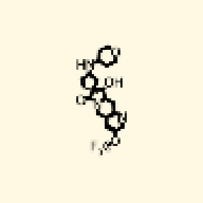 O=C1N2Cc3cc(OC(F)(F)F)cnc3CC2C(O)[C@@]12CC[C@@H](NC1CCOCC1)C2